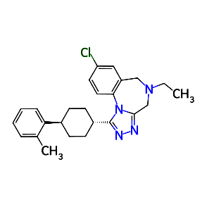 CCN1Cc2cc(Cl)ccc2-n2c(nnc2[C@H]2CC[C@H](c3ccccc3C)CC2)C1